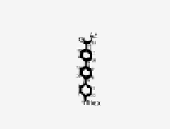 CCCCCCC1CCC(c2ccc(-c3ccc(C(=O)CC(C)=O)cc3)cc2)CC1